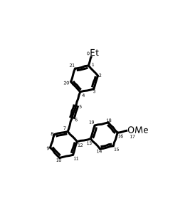 CCc1ccc(C#Cc2ccccc2-c2ccc(OC)cc2)cc1